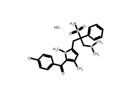 Cc1cc(CC(CN(C)C)(c2ccccc2)S(N)(=O)=O)n(C)c1C(=O)c1ccc(Cl)cc1.Cl